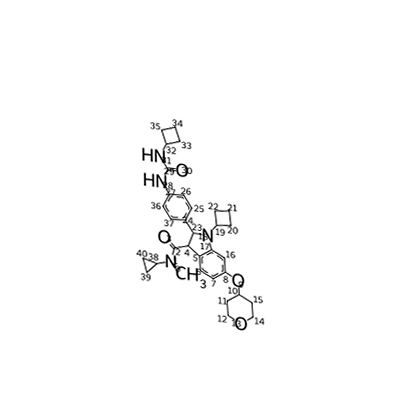 CN(C(=O)C1c2ccc(OC3CCOCC3)cc2N(C2CCC2)C1c1ccc(NC(=O)NC2CCC2)cc1)C1CC1